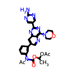 CC(=O)OC(C)OC(=O)N(C(C)=O)c1cccc(-c2cnc3c(N4CCOCC4)nc(-c4cnc(N)nc4)nc3c2)c1